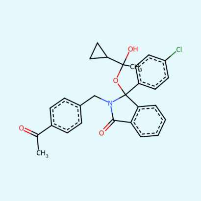 CC(=O)c1ccc(CN2C(=O)c3ccccc3C2(OC(C)(O)C2CC2)c2ccc(Cl)cc2)cc1